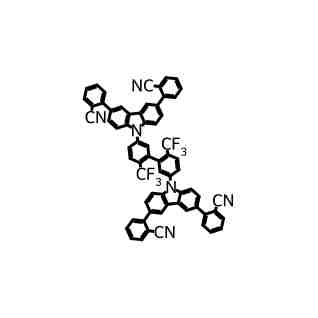 N#Cc1ccccc1-c1ccc2c(c1)c1cc(-c3ccccc3C#N)ccc1n2-c1ccc(C(F)(F)F)c(-c2cc(-n3c4ccc(-c5ccccc5C#N)cc4c4cc(-c5ccccc5C#N)ccc43)ccc2C(F)(F)F)c1